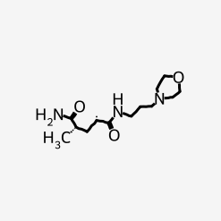 C[C@@H](C[CH]C(=O)NCCCN1CCOCC1)C(N)=O